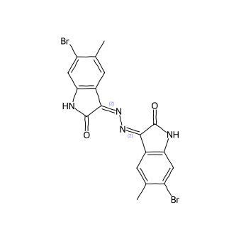 Cc1cc2c(cc1Br)NC(=O)/C2=N\N=C1/C(=O)Nc2cc(Br)c(C)cc21